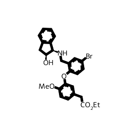 CCOC(=O)Cc1ccc(OC)c(Oc2ccc(Br)cc2CN[C@@H]2c3ccccc3C[C@@H]2O)c1